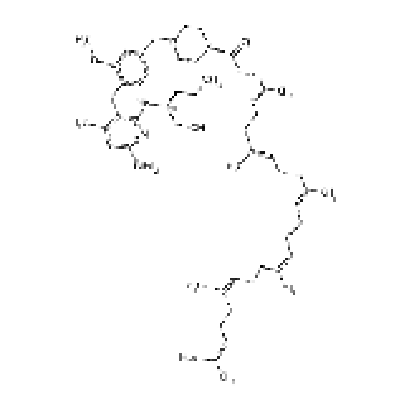 CCC[C@@H](CO)Nc1nc(N)nc(C)c1Cc1ccc(CN2CCN(C(=O)CCC(C)=CCCC(C)=CCCC(C)=CCCC=C(C)CCC=C(C)CCC=C(C)C)CC2)cc1OC